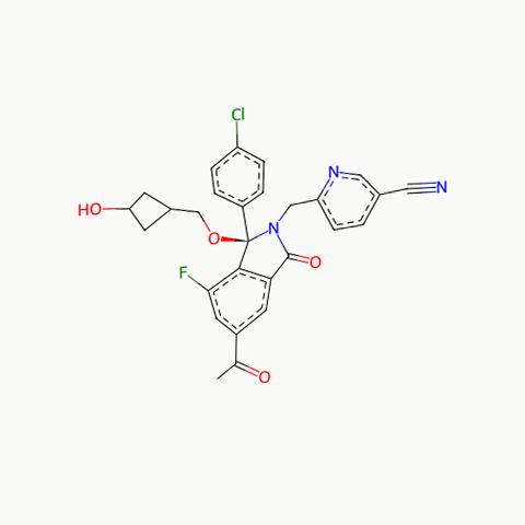 CC(=O)c1cc(F)c2c(c1)C(=O)N(Cc1ccc(C#N)cn1)[C@@]2(OCC1CC(O)C1)c1ccc(Cl)cc1